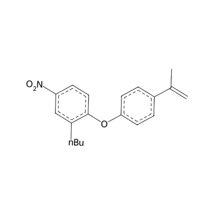 C=C(C)c1ccc(Oc2ccc([N+](=O)[O-])cc2CCCC)cc1